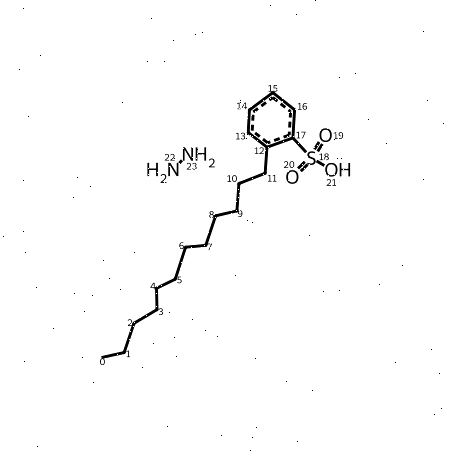 CCCCCCCCCCCCc1ccccc1S(=O)(=O)O.NN